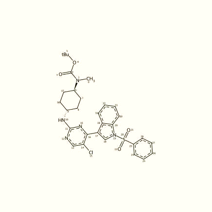 CN(C(=O)OC(C)(C)C)[C@H]1CC[C@H](Nc2ncc(Cl)c(-c3cn(S(=O)(=O)c4ccccc4)c4ccccc34)n2)CC1